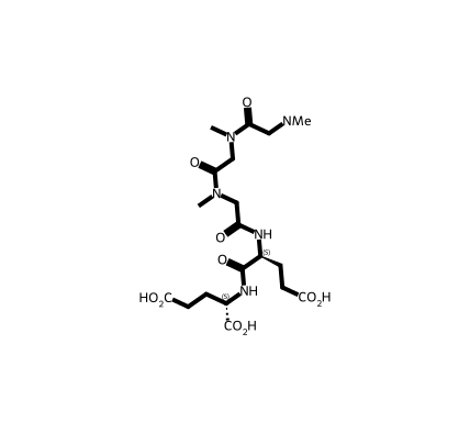 CNCC(=O)N(C)CC(=O)N(C)CC(=O)N[C@@H](CCC(=O)O)C(=O)N[C@@H](CCC(=O)O)C(=O)O